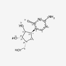 Nc1ncn([C@H]2O[C@H](CO)[C@H](O)C2O)c(=O)n1